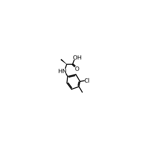 Cc1ccc(N[C@@H](C)C(=O)O)cc1Cl